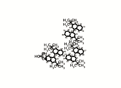 CC(C)(C)c1cc(-c2cc(C(C)(C)C)cc3ccccc23)c2ccccc2c1.CC(C)(C)c1cc(-c2cc(C(C)(C)C)cc3ccccc23)c2ccccc2c1.CC(C)(C)c1cc(-c2cc(C(C)(C)C)cc3ccccc23)c2ccccc2c1.OP(O)O